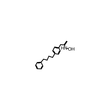 C=C(Cc1ccc(CCCCc2ccccc2)cc1)NO